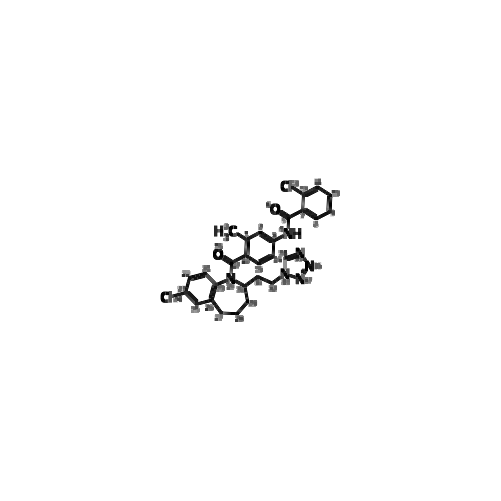 Cc1cc(NC(=O)c2ccccc2Cl)ccc1C(=O)N1c2ccc(Cl)cc2CCCC1CCn1cnnn1